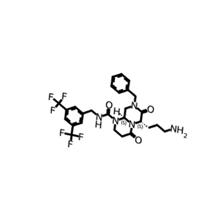 NCCC[C@H]1C(=O)N(Cc2ccccc2)C[C@@H]2N(C(=O)NCc3cc(C(F)(F)F)cc(C(F)(F)F)c3)CCC(=O)N21